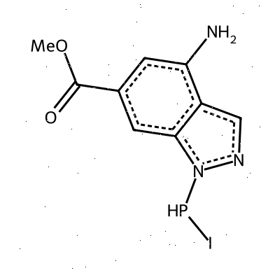 COC(=O)c1cc(N)c2cnn(PI)c2c1